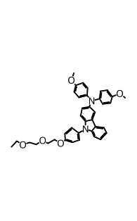 CCOCCOCCOc1ccc(-n2c3ccccc3c3cc(N(c4ccc(OC)cc4)c4ccc(OC)cc4)ccc32)cc1